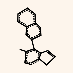 Cc1ccc2c(c1-c1ccc3ccccc3c1)C=CC2